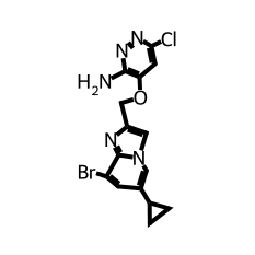 Nc1nnc(Cl)cc1OCc1cn2cc(C3CC3)cc(Br)c2n1